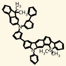 CC1(C)c2ccccc2-c2ccc(N(c3cccc(-c4ccccc4)c3)c3cccc(-c4ccc5c(c4)c4cc6ccc7c(c6cc4n5-c4ccccc4)[Si](C)(C)c4ccccc4-7)c3)cc21